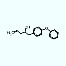 C=CCC(O)Cc1ccc(Oc2ccccc2)cc1